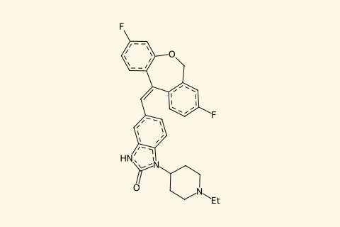 CCN1CCC(n2c(=O)[nH]c3cc(/C=C4\c5ccc(F)cc5COc5cc(F)ccc54)ccc32)CC1